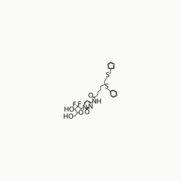 O=C(CCCCC(CCSCc1ccccc1)SCc1ccccc1)Nc1ccn(C2OC(CO)C(O)C2(F)F)c(=O)n1